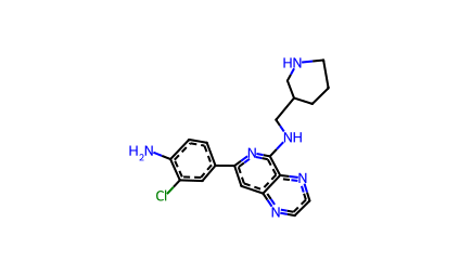 Nc1ccc(-c2cc3nccnc3c(NCC3CCCNC3)n2)cc1Cl